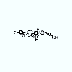 O=C(NCc1ccc(Cl)cc1Cl)Oc1cn(C2CC2F)c2c(Cl)c(N3CCN(CCOCCO)CC3)c(F)cc2c1=O